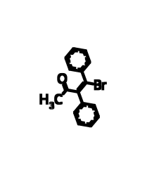 CC(=O)C(=C(Br)c1ccccc1)c1ccccc1